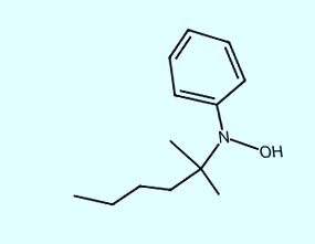 CCCCC(C)(C)N(O)c1ccccc1